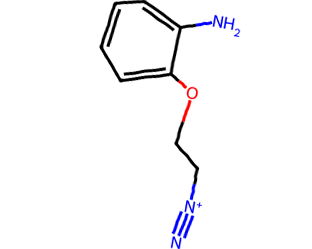 N#[N+]CCOc1ccccc1N